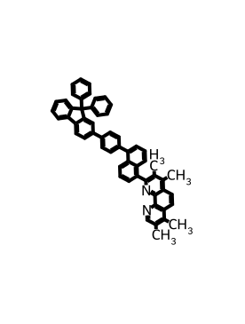 Cc1cnc2c(ccc3c(C)c(C)c(-c4cccc5c(-c6ccc(-c7ccc8c(c7)C(c7ccccc7)(c7ccccc7)c7ccccc7-8)cc6)cccc45)nc32)c1C